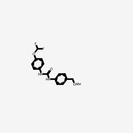 COCc1ccc(NC(=O)Nc2ccc(OC(F)F)cc2)cc1